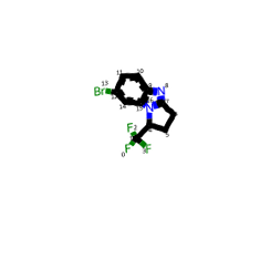 FC(F)(F)C1CCc2nc3ccc(Br)cc3n21